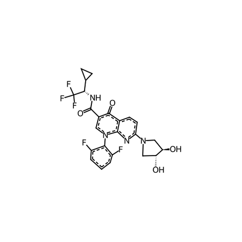 O=C(N[C@@H](C1CC1)C(F)(F)F)c1cn(-c2c(F)cccc2F)c2nc(N3C[C@@H](O)[C@H](O)C3)ccc2c1=O